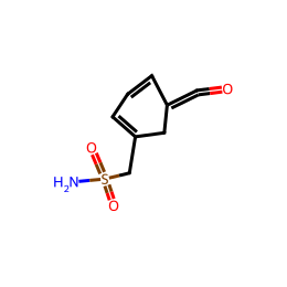 NS(=O)(=O)CC1=CC=CC(=C=O)C1